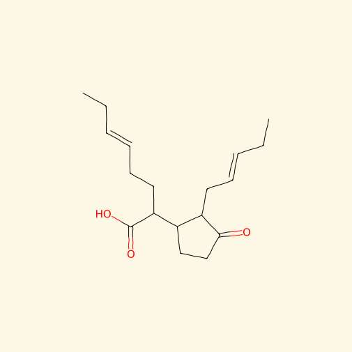 CCC=CCCC(C(=O)O)C1CCC(=O)C1CC=CCC